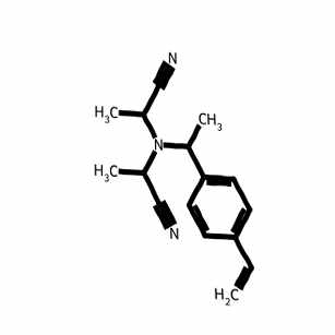 C=Cc1ccc(C(C)N(C(C)C#N)C(C)C#N)cc1